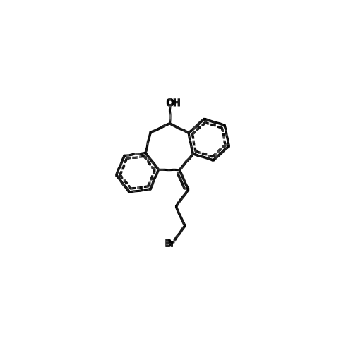 OC1Cc2ccccc2/C(=C\CCBr)c2ccccc21